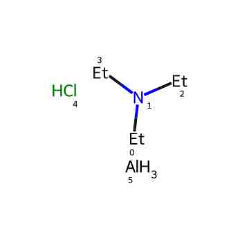 CCN(CC)CC.Cl.[AlH3]